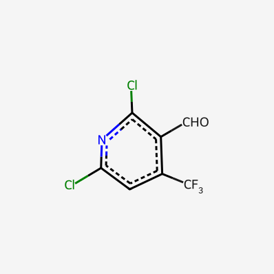 O=Cc1c(C(F)(F)F)cc(Cl)nc1Cl